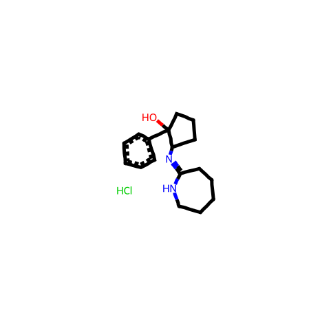 Cl.OC1(c2ccccc2)CCCC1/N=C1\CCCCCN1